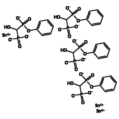 O=P([O-])([O-])C(O)P(=O)([O-])Oc1ccccc1.O=P([O-])([O-])C(O)P(=O)([O-])Oc1ccccc1.O=P([O-])([O-])C(O)P(=O)([O-])Oc1ccccc1.O=P([O-])([O-])C(O)P(=O)([O-])Oc1ccccc1.[Sn+4].[Sn+4].[Sn+4]